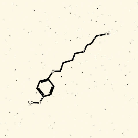 OCCCCCCCCOc1ccc(OC(F)(F)F)cc1